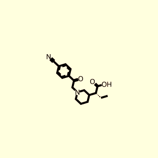 CC[C@@H](C(=O)O)C1CCCN(CC(=O)c2ccc(C#N)cc2)C1